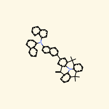 C=C1c2cccc3c2N2c4c1cc(-c1ccc5cc(N(c6cccc7ccccc67)c6cccc7ccccc67)ccc5c1)cc4C(C)(C)c1cccc(c12)C3(C)C